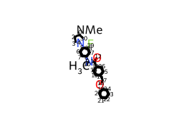 CNC1CCN(c2ccc(N(C)C(=O)c3ccc(COc4ccccc4)cc3)cc2F)C1